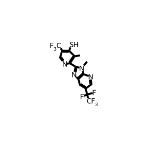 Cc1c(-c2nc3cc(C(F)(F)C(F)(F)F)cnc3n2C)ncc(C(F)(F)F)c1S